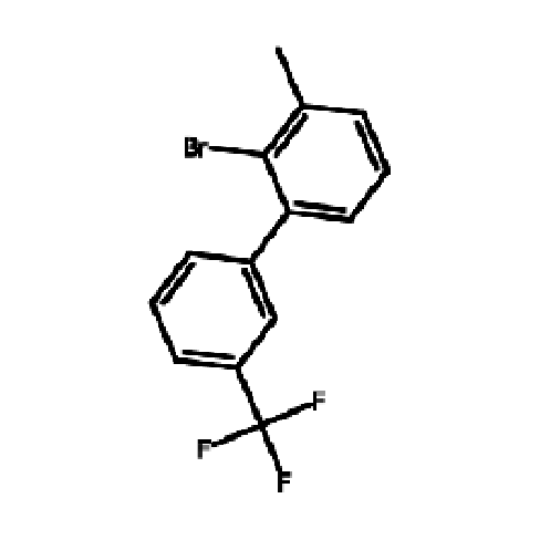 Cc1cccc(-c2cccc(C(F)(F)F)c2)c1Br